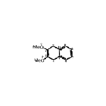 COC1=C(OC)Cc2ccccc2[CH]1